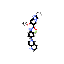 COc1cc2nc(C)cn2cc1C(=O)Nc1ccc(N2CCC3NCCCC3C2)cc1F